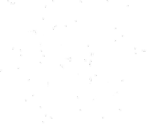 CCOC(=O)c1nn(Cc2ccc([N+](=O)[O-])c(C)c2)c2c1CN(C(=O)OC(C)(C)C)CC2C